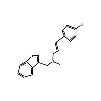 CN(C/C=C/c1ccc(Cl)cc1)Cc1coc2ccccc12